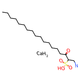 CCCCCCCCCCCCCCCC(=O)C(CN)S(=O)(=O)O.[CaH2]